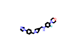 Fc1cc(NCC2C3CN(Cc4ccc(-n5ccnc5)cc4)CC23)ccc1N1CCOCC1